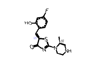 C[C@H]1CNCCN1C1=NC(=O)/C(=C/c2ccc(F)cc2O)S1